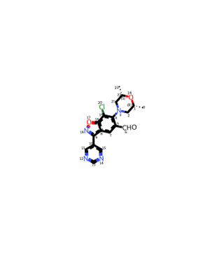 C[C@@H]1CN(c2c(C=O)cc3c(-c4cncnc4)noc3c2Cl)C[C@H](C)O1